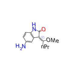 CCC/C(OC)=C1/C(=O)Nc2ccc(N)cc21